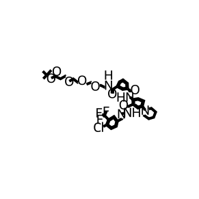 CC(C)(C)OC(=O)CCOCCOCCOCCNC(=O)c1cccc(C(=O)Nc2ccc(N3CCCCC3)cc2C(=O)NN=Cc2ccc(Cl)c(C(F)(F)F)c2)c1